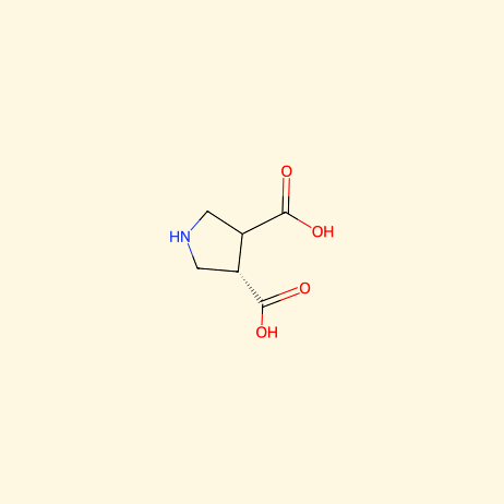 O=C(O)C1CNC[C@H]1C(=O)O